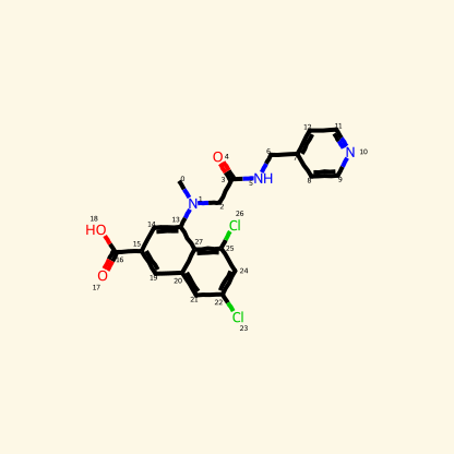 CN(CC(=O)NCc1ccncc1)c1cc(C(=O)O)cc2cc(Cl)cc(Cl)c12